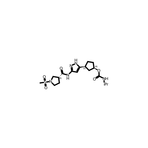 CC(C)NC(=O)O[C@@H]1CC[C@H](c2cc(NC(=O)[C@@H]3CCN(S(C)(=O)=O)C3)n[nH]2)C1